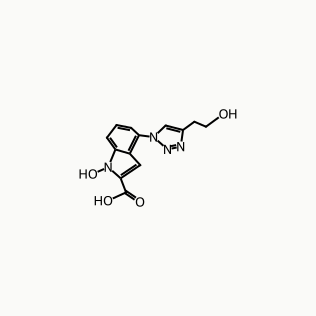 O=C(O)c1cc2c(-n3cc(CCO)nn3)cccc2n1O